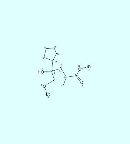 CCOC[PH](O)(NC(C)C(=O)OC(C)C)C1CCCC1